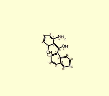 CC1C=CC=C(N)C1=C(O)c1cccc2ccccc12